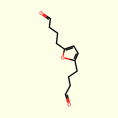 O=CCCCc1ccc(CCCC=O)o1